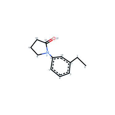 CCc1cccc(N2CCCC2=O)c1